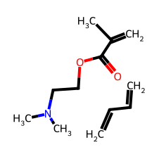 C=C(C)C(=O)OCCN(C)C.C=CC=C